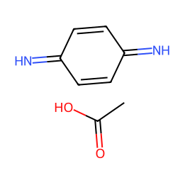 CC(=O)O.N=C1C=CC(=N)C=C1